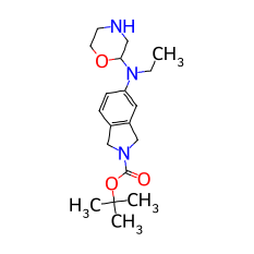 CCN(c1ccc2c(c1)CN(C(=O)OC(C)(C)C)C2)C1CNCCO1